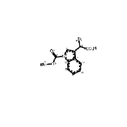 CCC(C(=O)O)c1cn(C(=O)OC(C)(C)C)c2ccccc12